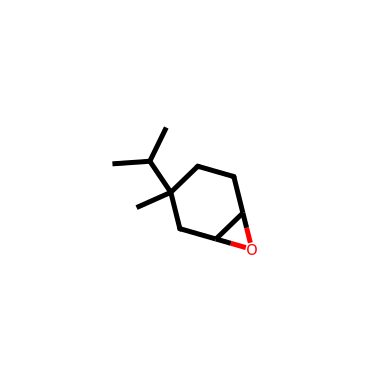 CC(C)C1(C)CCC2OC2C1